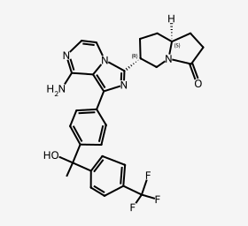 CC(O)(c1ccc(-c2nc([C@@H]3CC[C@H]4CCC(=O)N4C3)n3ccnc(N)c23)cc1)c1ccc(C(F)(F)F)cc1